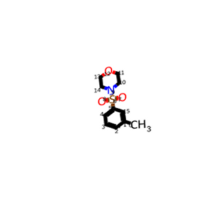 Cc1[c]ccc(S(=O)(=O)N2CCOCC2)c1